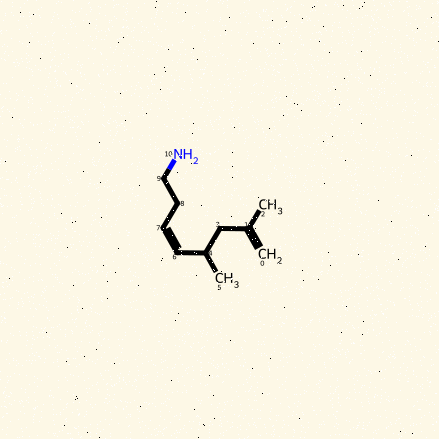 C=C(C)CC(C)/C=C\CCN